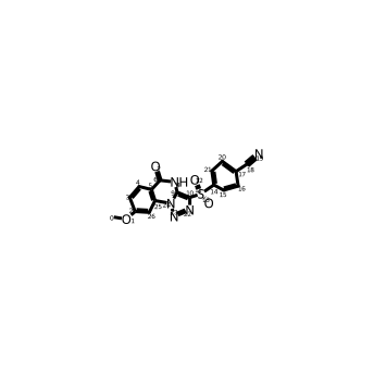 COc1ccc2c(=O)[nH]c3c(S(=O)(=O)c4ccc(C#N)cc4)nnn3c2c1